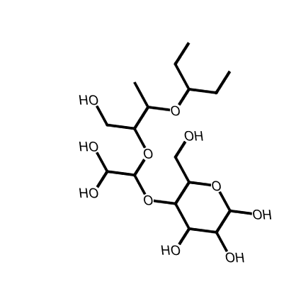 CCC(CC)OC(C)C(CO)OC(OC1C(CO)OC(O)C(O)C1O)C(O)O